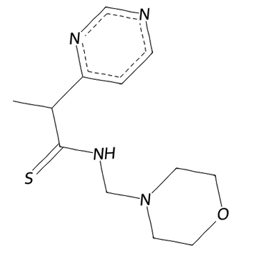 CC(C(=S)NCN1CCOCC1)c1ccncn1